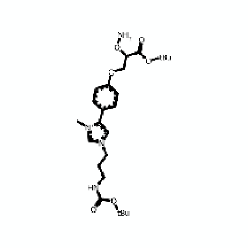 C[n+]1cn(CCCNC(=O)OC(C)(C)C)cc1-c1ccc(OCC(ON)C(=O)OC(C)(C)C)cc1